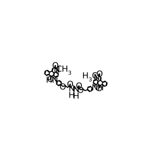 Cn1c(=O)cc2c3c(c(Nc4ccc(CCOC(=O)NCNC(=O)CCOc5ccc(Nc6ccc7c8c(cc(=O)n7C)-c7ccccc7C(=O)c68)cc5)cc4)ccc31)C(=O)c1ccccc1-2